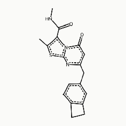 CNC(=O)c1c(C)sc2nc(Cc3ccc4c(c3)CC4)cc(=O)n12